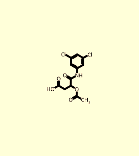 CC(=O)OC(CC(=O)O)C(=O)Nc1cc(Cl)cc(Cl)c1